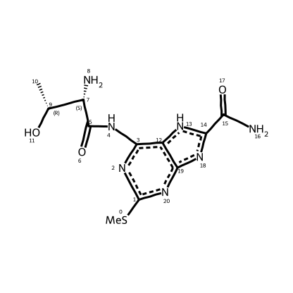 CSc1nc(NC(=O)[C@@H](N)[C@@H](C)O)c2[nH]c(C(N)=O)nc2n1